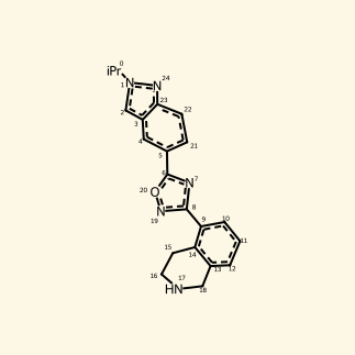 CC(C)n1cc2cc(-c3nc(-c4cccc5c4CCNC5)no3)ccc2n1